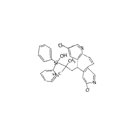 CC(C)(CC1c2cc(Cl)ncc2C=Cc2ncc(Cl)cc21)[Si](O)(c1ccccc1)c1ccccc1